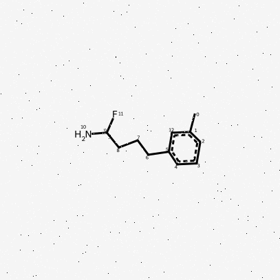 Cc1cccc(CCCC(N)F)c1